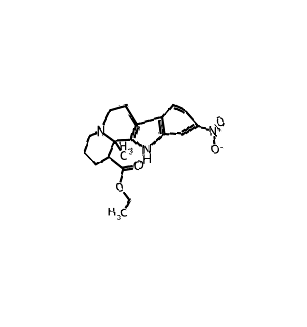 CCOC(=O)C1CCCN2CCc3c([nH]c4cc([N+](=O)[O-])ccc34)C12C